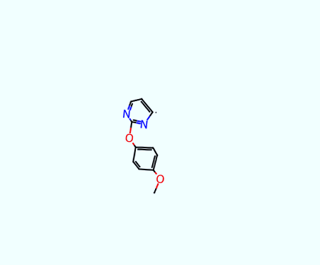 COc1ccc(Oc2n[c]ccn2)cc1